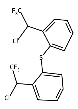 FC(F)(F)C(Cl)c1ccccc1Sc1ccccc1C(Cl)C(F)(F)F